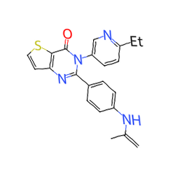 C=C(C)Nc1ccc(-c2nc3ccsc3c(=O)n2-c2ccc(CC)nc2)cc1